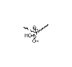 CCCCCCCCC(CCCCCCCC)(CN(CCO)CCO)OP=O